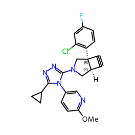 COc1ccc(-n2c(C3CC3)nnc2N2C[C@@H]3C#C[C@]3(c3ccc(F)cc3Cl)C2)cn1